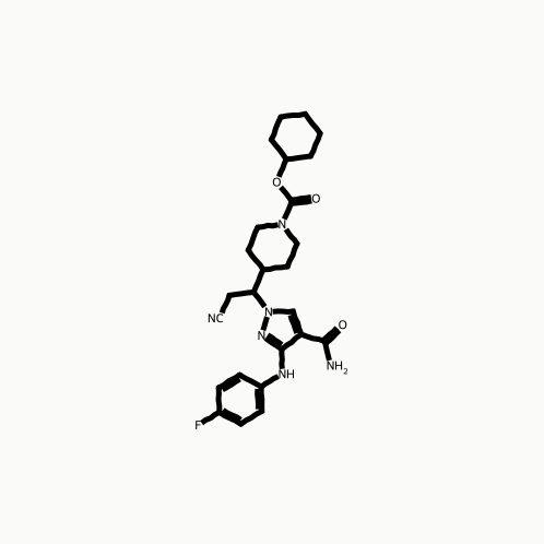 N#CCC(C1CCN(C(=O)OC2CCCCC2)CC1)n1cc(C(N)=O)c(Nc2ccc(F)cc2)n1